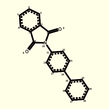 O=C1c2ccccc2C(=O)N1c1ccc(-c2ccccc2)cc1